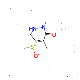 CC1=C([S+](C)[O-])CNN(C)C1=O